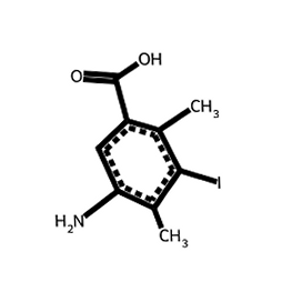 Cc1c(N)cc(C(=O)O)c(C)c1I